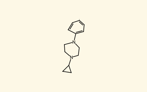 [c]1ccc(N2CCN(C3CC3)CC2)cc1